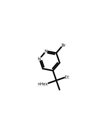 CCCCCCC(C)(CC)c1cnnc(Br)c1